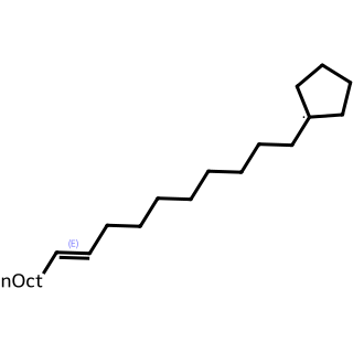 CCCCCCCC/C=C/CCCCCCCC[C]1CCCC1